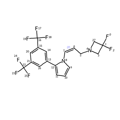 FC1(F)CN(C/C=C\n2cccc2-c2cc(C(F)(F)F)cc(C(F)(F)F)c2)C1